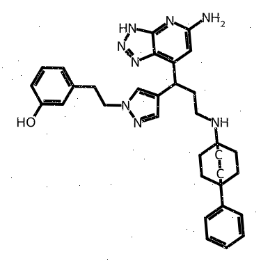 Nc1cc(C(CCNC23CCC(c4ccccc4)(CC2)CC3)c2cnn(CCc3cccc(O)c3)c2)c2nn[nH]c2n1